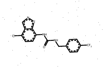 O=C(NCc1ccc(C(F)(F)F)cc1)Nc1ccc(Cl)c2cnsc12